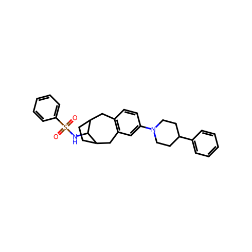 O=S(=O)(NC1C2CCC1Cc1cc(N3CCC(c4ccccc4)CC3)ccc1C2)c1ccccc1